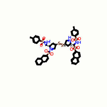 Cc1ccc(S(=O)(=O)NC[C@@H]2C[C@@H](SS[C@H]3CN[C@H](C(NS(=O)(=O)c4ccc(C)cc4)S(=O)(=O)c4ccc5ccccc5c4)C3)CN2S(=O)(=O)c2ccc3ccccc3c2)cc1